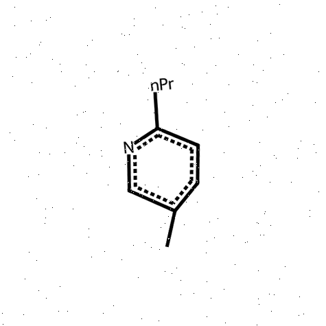 CCCc1ccc(C)cn1